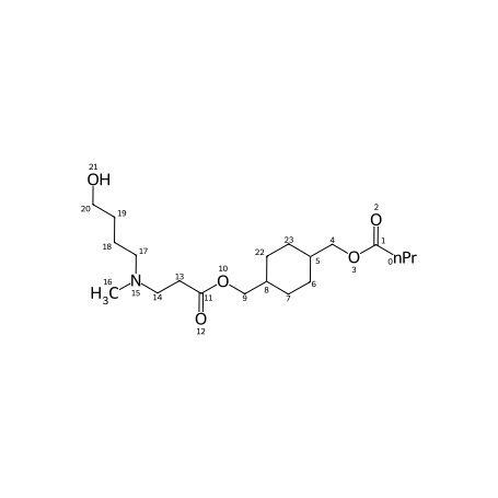 CCCC(=O)OCC1CCC(COC(=O)CCN(C)CCCCO)CC1